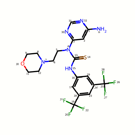 Nc1cc(N(CCN2CCOCC2)C(=S)Nc2cc(C(F)(F)F)cc(C(F)(F)F)c2)ncn1